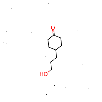 O=C1CCC(CCCO)CC1